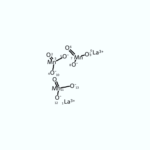 [La+3].[La+3].[O]=[Mn]([O-])[O-].[O]=[Mn]([O-])[O-].[O]=[Mn]([O-])[O-]